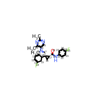 Cc1ncc(N(C)C[C@@]2(C3C=CC=C(F)C3)C[C@H]2C(=O)Nc2ccc(F)cc2)c(C)n1